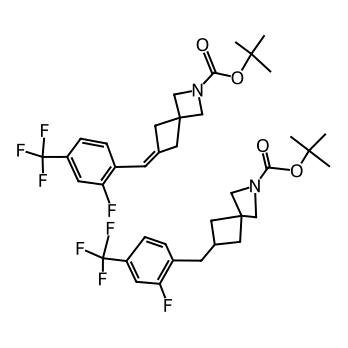 CC(C)(C)OC(=O)N1CC2(CC(=Cc3ccc(C(F)(F)F)cc3F)C2)C1.CC(C)(C)OC(=O)N1CC2(CC(Cc3ccc(C(F)(F)F)cc3F)C2)C1